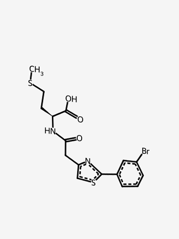 CSCC[C@H](NC(=O)Cc1csc(-c2cccc(Br)c2)n1)C(=O)O